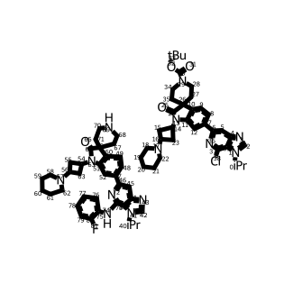 CC(C)n1cnc2cc(-c3ccc4c(c3)N(C3CC(N5CCCCC5)C3)C(=O)C43CCN(C(=O)OC(C)(C)C)CC3)nc(Cl)c21.CC(C)n1cnc2cc(-c3ccc4c(c3)N(C3CC(N5CCCCC5)C3)C(=O)C43CCNCC3)nc(Nc3ccccc3F)c21